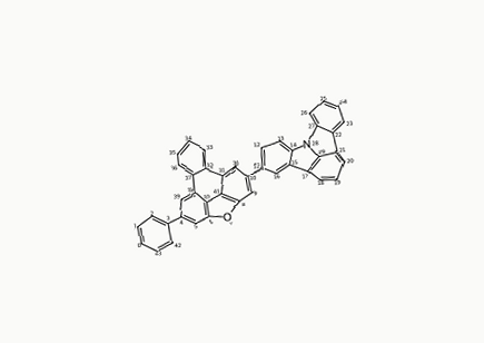 c1ccc(-c2cc3oc4cc(-c5ccc6c(c5)c5cccc7c8ccccc8n6c75)cc5c6ccccc6c(c2)c3c45)cc1